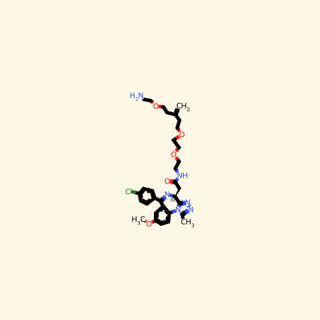 C=C(CCOCCN)CCOCCOCCNC(=O)C[C@@H]1N=C(c2ccc(Cl)cc2)c2cc(OC)ccc2-n2c(C)nnc21